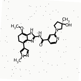 COC1=c2[nH]c(NC(=O)c3ccnc(N4CC[C@@](C)(O)C4)c3)nc2=C(c2cnn(C)c2)CC1